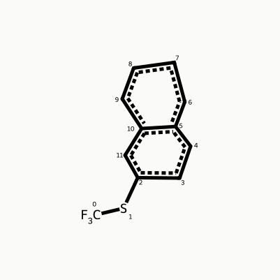 FC(F)(F)Sc1ccc2ccccc2c1